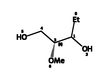 CCC(O)[C@@H](CO)OC